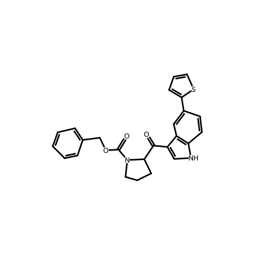 O=C(c1c[nH]c2ccc(-c3cccs3)cc12)C1CCCN1C(=O)OCc1ccccc1